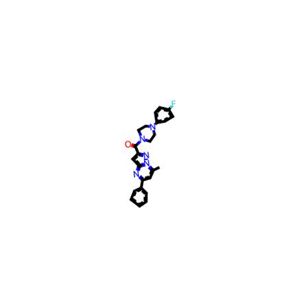 Cc1cc(-c2ccccc2)nc2cc(C(=O)N3CCN(c4ccc(F)cc4)CC3)nn12